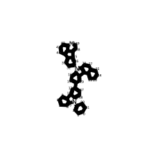 c1ccc(-n2c3ccccc3c3cc(-c4ccc5c(c4)c4c6ccccc6ccc4n5-c4ccc5c(c4)-c4ccnc6cccc-5c46)ccc32)cc1